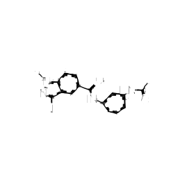 CC(=O)Nc1cccc(NC(=O)c2ccc3c(c2)c(I)nn3C)c1